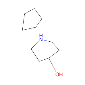 C1CCCC1.OC1CCNCC1